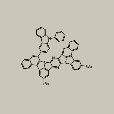 CC(C)(C)c1ccc2c(c1)c1c3ccccc3cc3c4nc5c(nc4n2c31)c1cc(C(C)(C)C)cc2c3c4ccccc4cc(-c4ccc6c(c4)c4ccccc4n6-c4ccccc4)c3n5c12